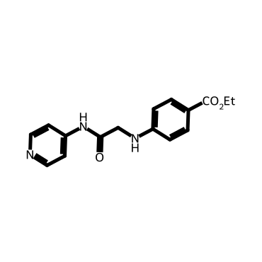 CCOC(=O)c1ccc(NCC(=O)Nc2ccncc2)cc1